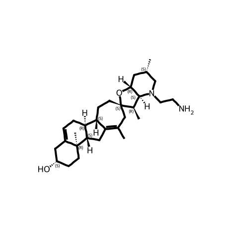 CC1=C2C[C@H]3[C@@H](CC=C4C[C@@H](O)CC[C@@]43C)[C@@H]2CC[C@@]2(C1)O[C@@H]1C[C@H](C)CN(CCN)[C@H]1[C@H]2C